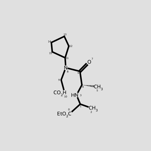 CCOC(=O)C(C)N[C@@H](C)C(=O)N(CC(=O)O)C1CCCC1